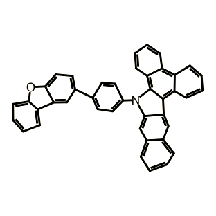 c1ccc2cc3c(cc2c1)c1c2ccccc2c2ccccc2c1n3-c1ccc(-c2ccc3oc4ccccc4c3c2)cc1